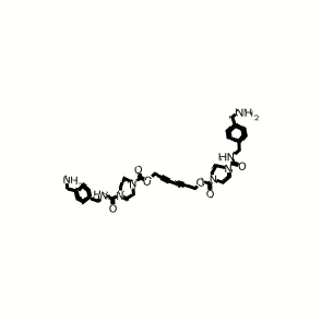 NCc1ccc(CNC(=O)N2CCN(C(=O)OCC#CC#CCOC(=O)N3CCN(C(=O)NCc4ccc(CN)cc4)CC3)CC2)cc1